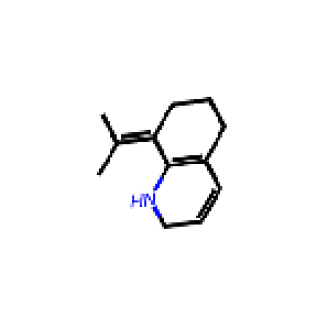 CC(C)=C1CCCC2=C1NCC=C2